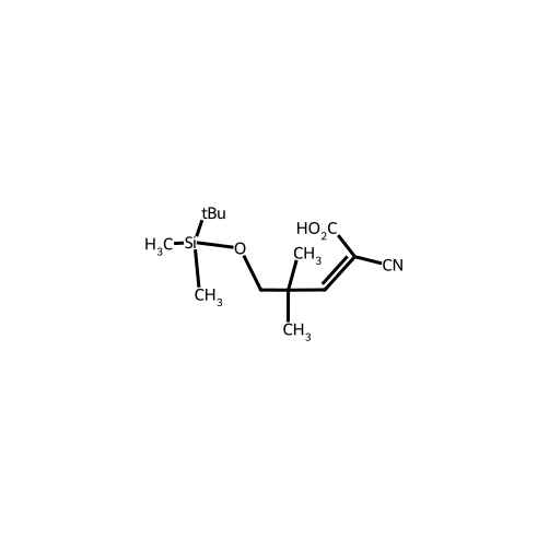 CC(C)(C=C(C#N)C(=O)O)CO[Si](C)(C)C(C)(C)C